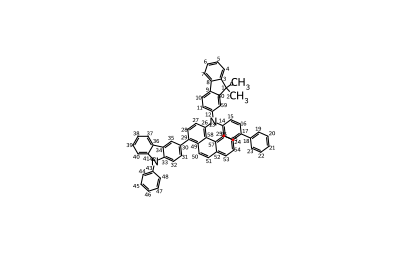 CC1(C)c2ccccc2-c2ccc(N(c3ccc(-c4ccccc4)cc3)c3ccc(-c4ccc5c(c4)c4ccccc4n5-c4ccccc4)c4ccc5ccccc5c34)cc21